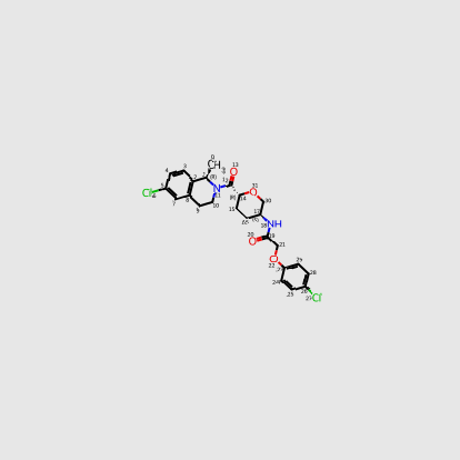 C[C@@H]1c2ccc(Cl)cc2CCN1C(=O)[C@H]1CC[C@H](NC(=O)COc2ccc(Cl)cc2)CO1